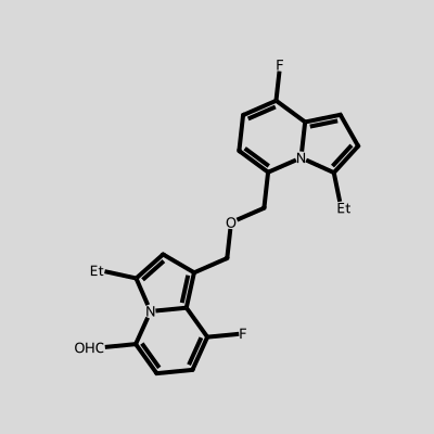 CCc1ccc2c(F)ccc(COCc3cc(CC)n4c(C=O)ccc(F)c34)n12